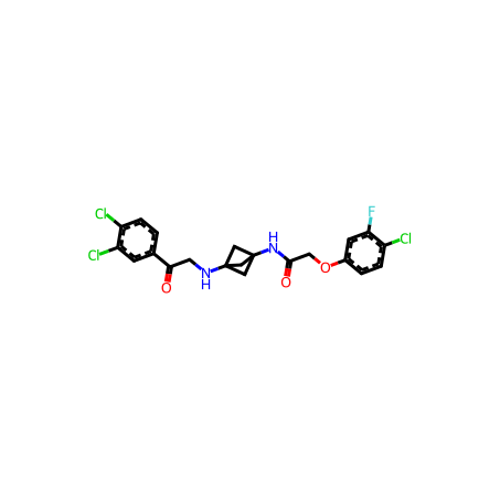 O=C(COc1ccc(Cl)c(F)c1)NC12CC(NCC(=O)c3ccc(Cl)c(Cl)c3)(C1)C2